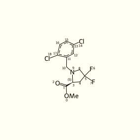 COC(=O)[C@@H]1CC(F)(F)CN1Cc1cc(Cl)ccc1Cl